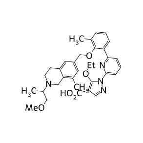 CCOc1c(C(=O)O)cnn1-c1cccc(-c2cccc(C)c2OCc2cc(C)c3c(c2)CCN(C(C)COC)C3)n1